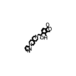 Cc1c(C(O)CN2CCC3(CC2)CCN(c2cccnn2)CC3)ccc2c1COC2=O